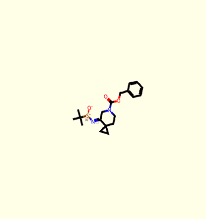 CC(C)(C)[S@@+]([O-])/N=C1\CN(C(=O)OCc2ccccc2)CCC12CC2